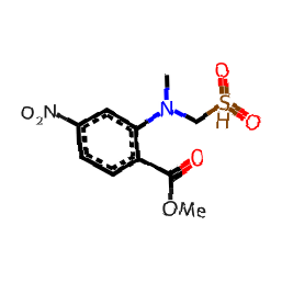 COC(=O)c1ccc([N+](=O)[O-])cc1N(C)C[SH](=O)=O